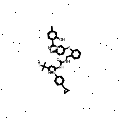 CSC(C)(C)c1cc(NC(=O)NCc2ccccc2Sc2ccc3nnc(-c4ccc(C)cc4O)n3c2)n(-c2ccc(C3CC3)cc2)n1